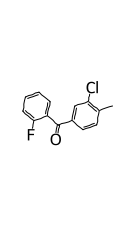 Cc1ccc(C(=O)c2ccccc2F)cc1Cl